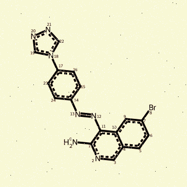 Nc1ncc2ccc(Br)cc2c1/N=N/c1ccc(-n2cnnc2)cc1